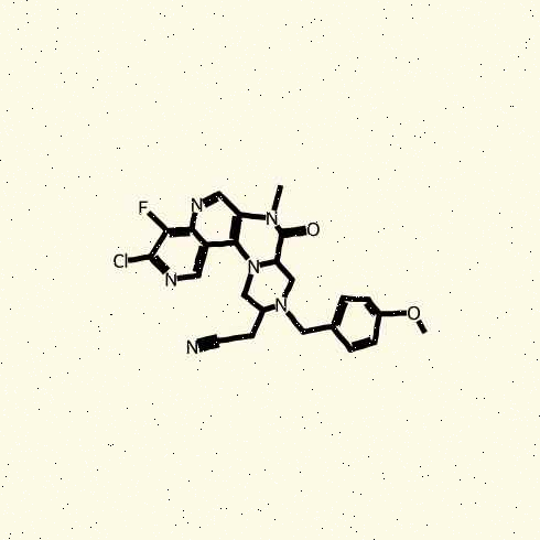 COc1ccc(CN2CC3C(=O)N(C)c4cnc5c(F)c(Cl)ncc5c4N3CC2CC#N)cc1